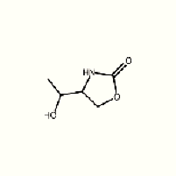 CC(O)C1COC(=O)N1